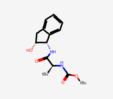 CC(C)(C)OC(=O)N[C@H](C(=O)N[C@H]1c2ccccc2C[C@H]1O)C(C)(C)C